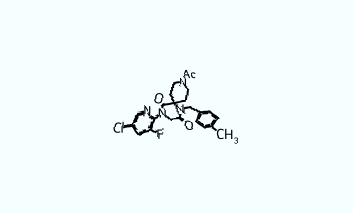 CC(=O)N1CCC2(CC1)C(=O)N(c1ncc(Cl)cc1F)CC(=O)N2Cc1ccc(C)cc1